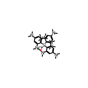 CN(C)c1cc(N(C)C)c([Si](Cl)(c2c(N(C)C)cc(N(C)C)cc2N(C)C)c2c(N(C)C)cc(N(C)C)cc2N(C)C)c(N(C)C)c1